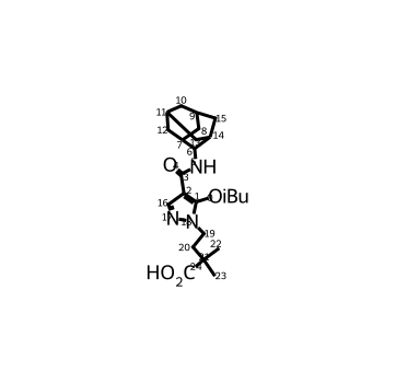 CC(C)COc1c(C(=O)NC2C3CC4CC(C3)CC2C4)cnn1CCC(C)(C)C(=O)O